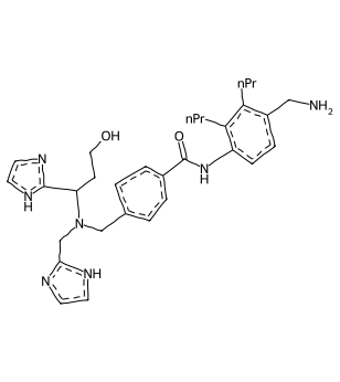 CCCc1c(CN)ccc(NC(=O)c2ccc(CN(Cc3ncc[nH]3)C(CCO)c3ncc[nH]3)cc2)c1CCC